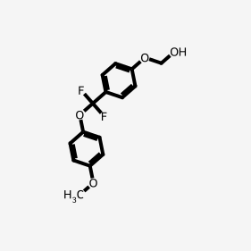 COc1ccc(OC(F)(F)c2ccc(OCO)cc2)cc1